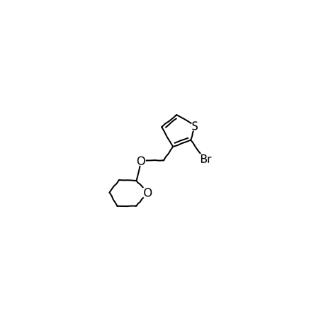 Brc1sccc1COC1CCCCO1